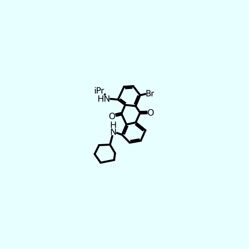 CC(C)Nc1ccc(Br)c2c1C(=O)c1c(NC3CCCCC3)cccc1C2=O